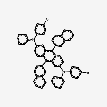 Brc1ccc(N(c2ccccc2)c2ccc3c(-c4ccc5ccccc5c4)c4cc(N(c5ccccc5)c5ccc(Br)cc5)ccc4c(-c4ccc5ccccc5c4)c3c2)cc1